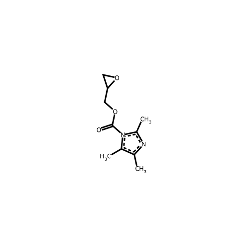 Cc1nc(C)n(C(=O)OCC2CO2)c1C